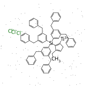 CCC1=CC[C]([Ti+3])=C1[Si](c1cc(Cc2ccccc2)cc(Cc2ccccc2)c1)(c1cc(Cc2ccccc2)cc(Cc2ccccc2)c1)c1cc(Cc2ccccc2)cc(Cc2ccccc2)c1.[Cl-].[Cl-].[Cl-]